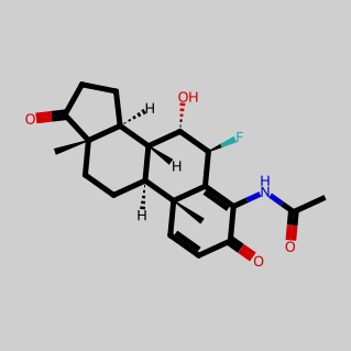 CC(=O)NC1=C2[C@H](F)[C@@H](O)[C@@H]3[C@H](CC[C@]4(C)C(=O)CC[C@@H]34)[C@@]2(C)C=CC1=O